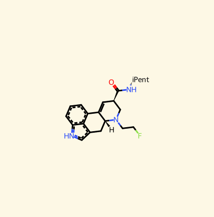 CCC[C@@H](C)NC(=O)[C@@H]1C=C2c3cccc4[nH]cc(c34)C[C@H]2N(CCF)C1